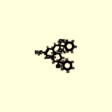 CC(C)=CC(CC(C)(C)c1ccccc1)N1CCC(O)(c2ccccc2)CC1